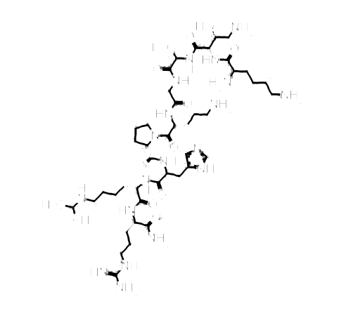 CC(C)NCCCC[C@H](NC(=O)C(Cc1cnc[nH]1)NC(=O)[C@@H]1CCCN1C(=O)[C@@H](CCCN)NC(=O)CNC(=O)C(C)NC(=O)[C@@H](NC(=O)C(N)CCCCN)[C@@H](O)CN)C(=O)N[C@H](CCCNC(=N)N)C(N)=O